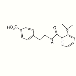 CN(C)c1ccccc1C(=O)NCCc1ccc(C(=O)O)cc1